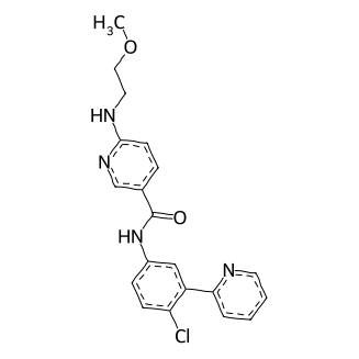 COCCNc1ccc(C(=O)Nc2ccc(Cl)c(-c3ccccn3)c2)cn1